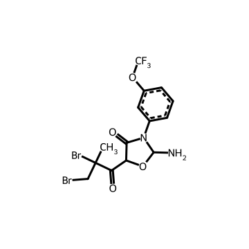 CC(Br)(CBr)C(=O)C1OC(N)N(c2cccc(OC(F)(F)F)c2)C1=O